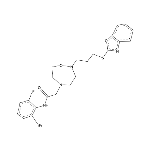 CC(C)c1cccc(C(C)C)c1NC(=O)CN1CCCN(CCCSc2nc3ccccc3o2)CC1